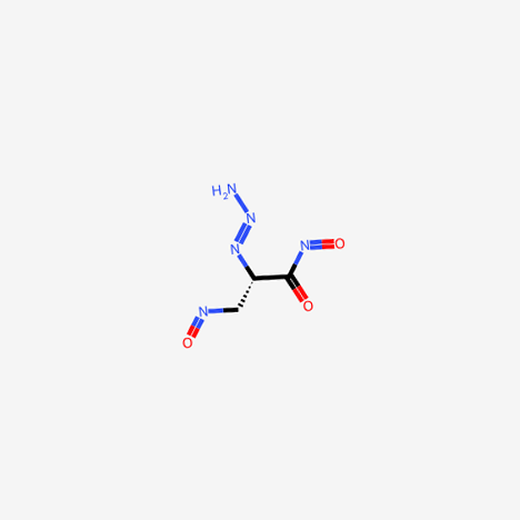 NN=N[C@@H](CN=O)C(=O)N=O